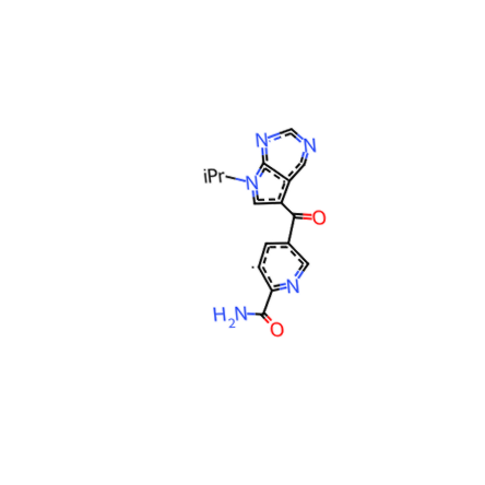 CC(C)n1cc(C(=O)c2c[c]c(C(N)=O)nc2)c2cncnc21